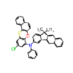 CC1(C)c2ccc(N(c3ccccc3)c3cc(Cl)cc4c3Oc3ccc5ccccc5c3S4)cc2-c2cc3ccccc3cc21